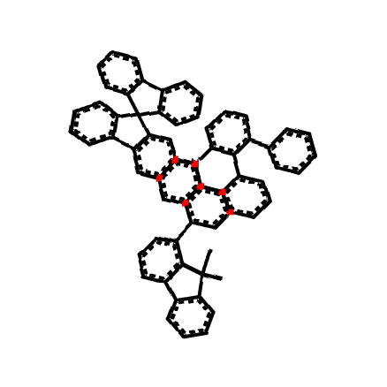 CC1(C)c2ccccc2-c2cccc(-c3cccc(N(c4ccc5c(c4)C4(c6ccccc6-c6ccccc64)c4ccccc4-5)c4cccc(-c5ccccc5)c4-c4ccccc4-c4ccccc4)c3)c21